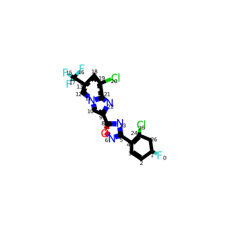 FC1C=CC(c2noc(-c3cn4cc(C(F)(F)F)cc(Cl)c4n3)n2)=C(Cl)C1